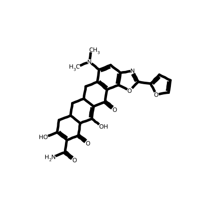 CN(C)c1cc2nc(-c3ccco3)oc2c2c1CC1CC3CC(O)=C(C(N)=O)C(=O)C3C(O)=C1C2=O